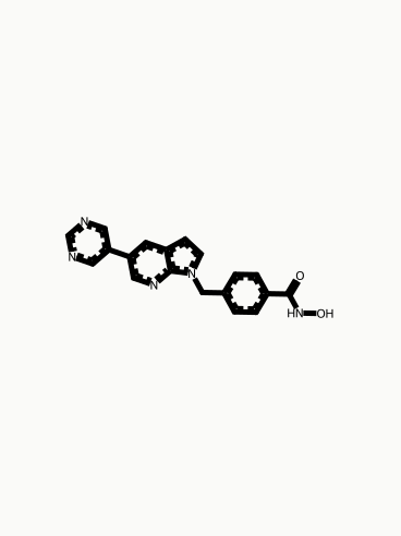 O=C(NO)c1ccc(Cn2ccc3cc(-c4cncnc4)cnc32)cc1